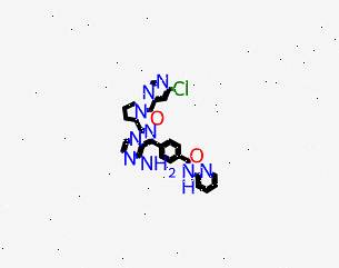 Nc1nccn2c(C3CCCN3C(=O)c3cc(Cl)ncn3)nc(-c3ccc(C(=O)Nc4ccccn4)cc3)c12